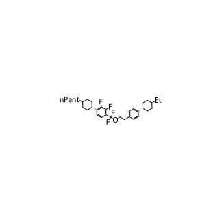 CCCCC[C@H]1CC[C@H](c2ccc(C(F)(F)OCCc3ccc([C@H]4CC[C@H](CC)CC4)cc3)c(F)c2F)CC1